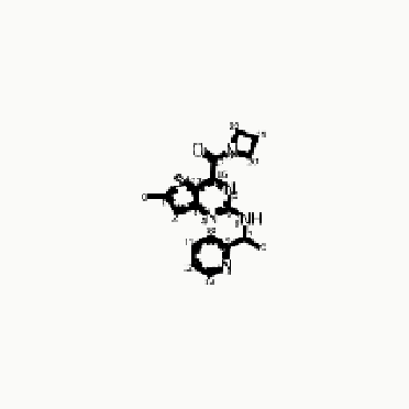 Cc1cc2nc(NC(C)c3ccccn3)nc(C(=O)N3CCC3)c2s1